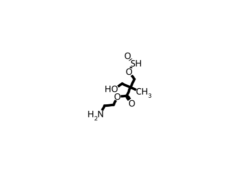 CC(CO)(CO[SH]=O)C(=O)OCCN